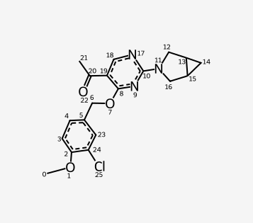 COc1ccc(COc2nc(N3CC4CC4C3)ncc2C(C)=O)cc1Cl